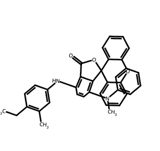 CCc1ccc(Nc2ccc(N(C)c3ccccc3)c3c2C(=O)OC32c3ccccc3Oc3ccccc32)cc1C